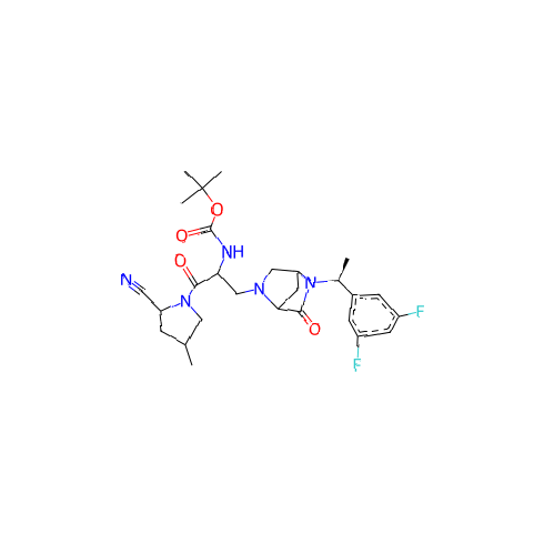 CC1CC(C#N)N(C(=O)C(CN2CC3CC2C(=O)N3[C@@H](C)c2cc(F)cc(F)c2)NC(=O)OC(C)(C)C)C1